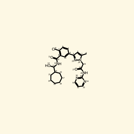 Cc1cc(-c2ccc(Cl)c(C(=O)NC(O)C3CCCCCC3)c2)nn1CC(=O)Nc1ncccn1